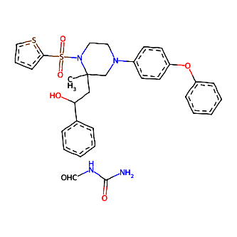 CC1(CC(O)c2ccccc2)CN(c2ccc(Oc3ccccc3)cc2)CCN1S(=O)(=O)c1cccs1.NC(=O)NC=O